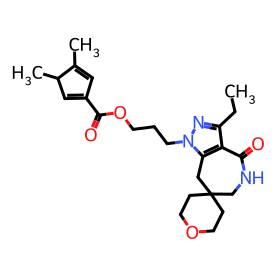 CCc1nn(CCCOC(=O)C2=CC(C)C(C)=C2)c2c1C(=O)NCC1(CCOCC1)C2